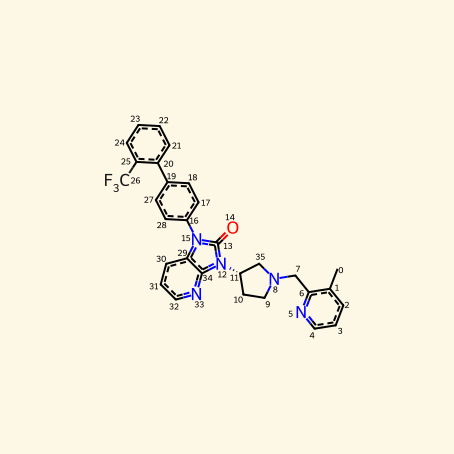 Cc1cccnc1CN1CC[C@H](n2c(=O)n(-c3ccc(-c4ccccc4C(F)(F)F)cc3)c3cccnc32)C1